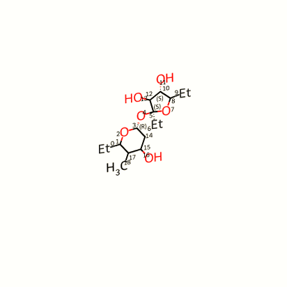 CCC1O[C@H](O[C@]2(CC)OC(CC)[C@@H](O)C2O)CC(O)C1C